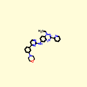 C=CN(/N=C(\N)c1ccccn1)c1ccc(Nc2nccc(-c3cccc(N4CCOCC4)c3)n2)cc1